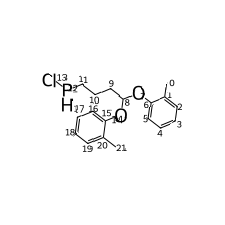 Cc1ccccc1OC(CCCPCl)Oc1ccccc1C